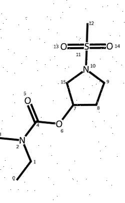 [CH2]CN(C)C(=O)OC1CCN(S(C)(=O)=O)C1